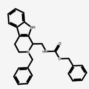 O=C(NCC1c2[nH]c3ccccc3c2CCN1Cc1ccccc1)OCc1ccccc1